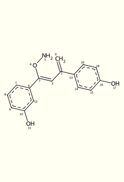 C=C(/C=C(\ON)c1cccc(O)c1)c1ccc(O)cc1